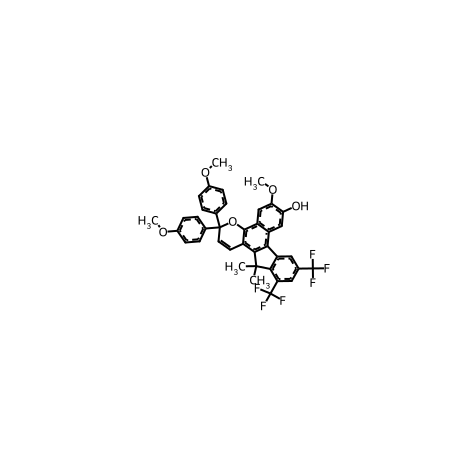 COc1ccc(C2(c3ccc(OC)cc3)C=Cc3c4c(c5cc(O)c(OC)cc5c3O2)-c2cc(C(F)(F)F)cc(C(F)(F)F)c2C4(C)C)cc1